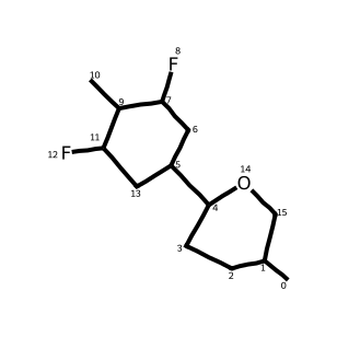 CC1CCC(C2CC(F)C(C)C(F)C2)OC1